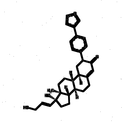 C[C@]12CC[C@H]3[C@@H](CCC4=CC(=O)C(c5ccc(-c6ccoc6)cc5)C[C@@H]43)[C@@H]1CC[C@@]2(O)C=CCO